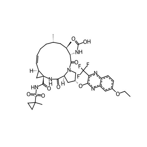 CCOc1ccc2nc(C(F)(F)F)c(O[C@@H]3C[C@H]4C(=O)N[C@]5(C(=O)NS(=O)(=O)C6(C)CC6)C[C@H]5C=CCC[C@H](C)C[C@@H](C)[C@H](NC(=O)O)C(=O)N4C3)nc2c1